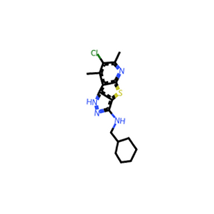 Cc1nc2sc3c(NCC4CCCCC4)n[nH]c3c2c(C)c1Cl